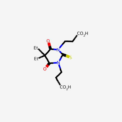 CCC1(CC)C(=O)N(CCC(=O)O)C(=S)N(CCC(=O)O)C1=O